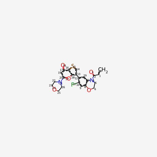 C=CC(=O)N1CCOc2cc(F)c(-c3csc4c(=O)cc(N5CCOCC5)oc34)cc21